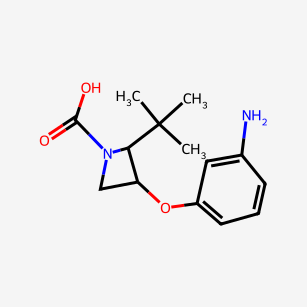 CC(C)(C)C1C(Oc2cccc(N)c2)CN1C(=O)O